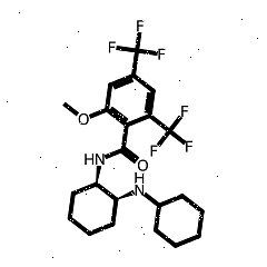 COc1cc(C(F)(F)F)cc(C(F)(F)F)c1C(=O)N[C@@H]1CCCC[C@@H]1NC1CCCCC1